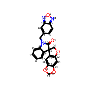 O=C1N(Cc2ccc3nonc3c2)c2ccccc2C12COc1cc3c(cc12)OCO3